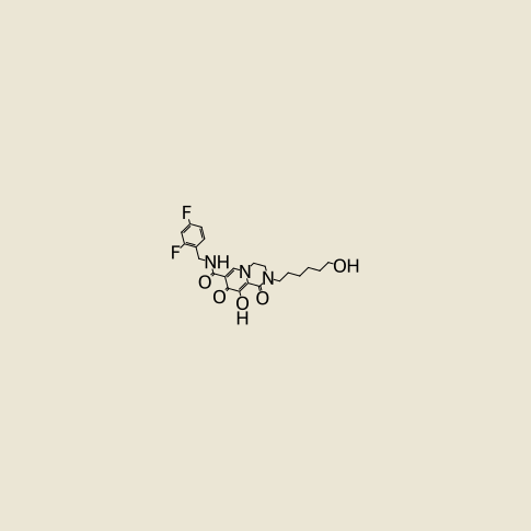 O=C(NCc1ccc(F)cc1F)c1cn2c(c(O)c1=O)C(=O)N(CCCCCCO)CC2